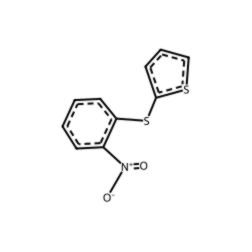 O=[N+]([O-])c1ccccc1Sc1cccs1